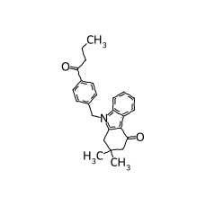 CCCC(=O)c1ccc(Cn2c3c(c4ccccc42)C(=O)CC(C)(C)C3)cc1